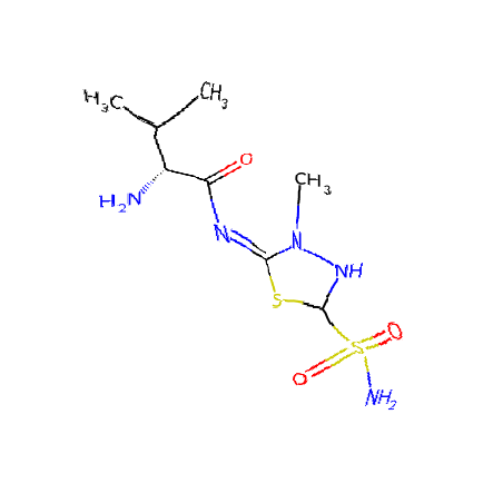 CC(C)[C@@H](N)C(=O)N=C1SC(S(N)(=O)=O)NN1C